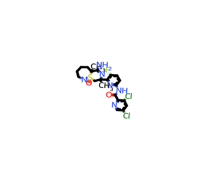 CC1(c2nc(NC(=O)c3ncc(Cl)cc3Cl)ccc2F)CS2(=O)=NCCCCC2(C)C(N)=N1